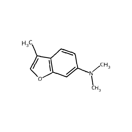 Cc1coc2cc(N(C)C)ccc12